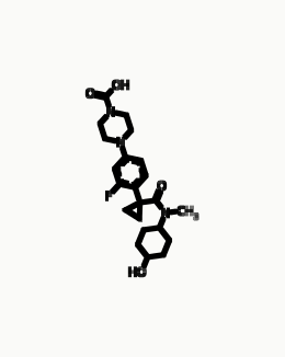 CN(C(=O)C1(c2ccc(N3CCN(C(=O)O)CC3)cc2F)CC1)C1CCC(O)CC1